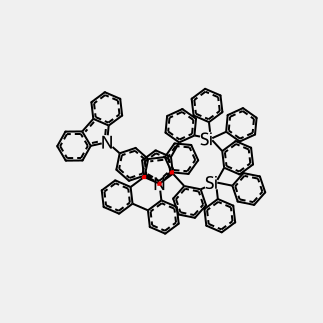 c1ccc([Si]2(c3ccccc3)c3ccccc3-c3ccc(-c4ccccc4-c4ccccc4-n4c5ccccc5c5cc(-n6c7ccccc7c7ccccc76)ccc54)cc3-c3ccccc3[Si](c3ccccc3)(c3ccccc3)c3ccccc32)cc1